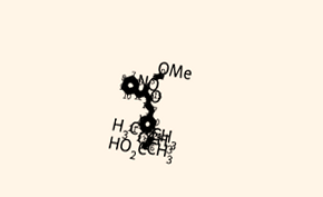 COCCOc1nc2ccccc2cc1C(=O)/C=C/c1cc(C)c(OC(C)(C)C(=O)O)c(C)c1